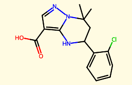 CC1(C)CC(c2ccccc2Cl)Nc2c(C(=O)O)cnn21